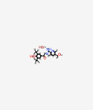 Br.COC(C)c1cc2c(nc1C)C(=N)N(CC(=O)c1cc(C(C)(C)C)c(O)c(C(C)(C)C)c1)C2